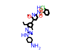 C=N/C(=N\c1c(C)cc(-c2ccc(NS(=O)(=O)c3ccccc3Cl)nc2OC)cc1CC)NC1CCC(N)CC1